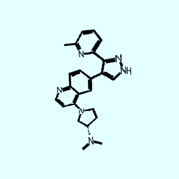 Cc1cccc(-c2n[nH]cc2-c2ccc3nccc(N4CC[C@H](N(C)C)C4)c3c2)n1